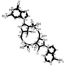 C[C@@]12[C@H](F)[C@@H](COP(=O)(S)O[C@H]3C(F)[C@H](n4ccc5c(N)ncnc54)O[C@@H]3COP1(=O)S)O[C@H]2n1cnc2c(=O)[nH]c(N)cc21